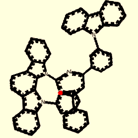 c1ccc(-c2cc(-c3cccc(-n4c5ccccc5c5ccccc54)c3)nc(-n3c4ccccc4c4ccc5c6ccccc6n(-c6ccccc6)c5c43)n2)cc1